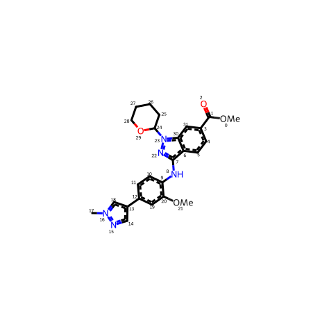 COC(=O)c1ccc2c(Nc3ccc(-c4cnn(C)c4)cc3OC)nn(C3CCCCO3)c2c1